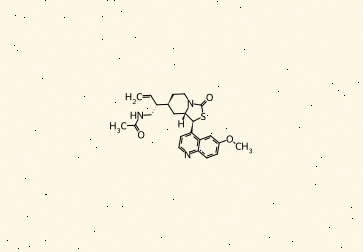 C=C[C@@H](CNC(C)=O)[C@H]1CCN2C(=O)S[C@@H](c3ccnc4ccc(OC)cc34)[C@@H]2C1